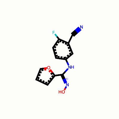 N#Cc1cc(N/C(=N/O)c2ccco2)ccc1F